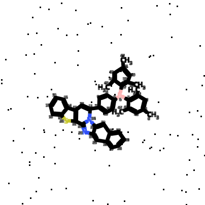 Cc1cc(C)c(B(c2ccc(-c3cc4c5ccccc5sc4c4nc5cc6ccccc6cc5n34)cc2)c2c(C)cc(C)cc2C)c(C)c1